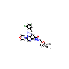 CC(C)(C)[Si](C)(C)OCCNC(=O)c1cc(NCc2cc(F)cc(F)c2)c2nc(N3CCOCC3)cnc2c1